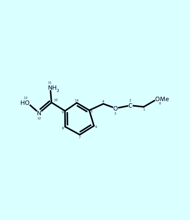 COCCOCc1cccc(/C(N)=N/O)c1